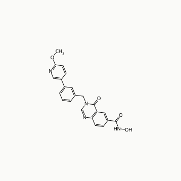 COc1ccc(-c2cccc(Cn3cnc4ccc(C(=O)NO)cc4c3=O)c2)cn1